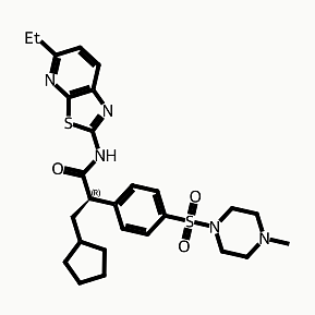 CCc1ccc2nc(NC(=O)[C@H](CC3CCCC3)c3ccc(S(=O)(=O)N4CCN(C)CC4)cc3)sc2n1